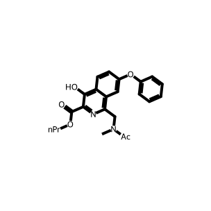 CCCOC(=O)c1nc(CN(C)C(C)=O)c2cc(Oc3ccccc3)ccc2c1O